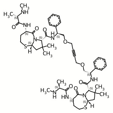 CN[C@@H](C)C(=O)N[C@H]1CCS[C@H]2CC(C)(C)[C@@H](C(=O)N[C@H](COCC#CCOC[C@@H](NC(=O)[C@H]3N4C(=O)[C@@H](NC(=O)[C@H](C)NC)CCS[C@H]4CC3(C)C)c3ccccc3)c3ccccc3)N2C1=O